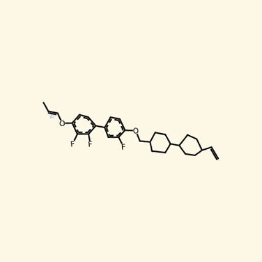 C=CC1CCC(C2CCC(COc3ccc(-c4ccc(O/C=C/C)c(F)c4F)cc3F)CC2)CC1